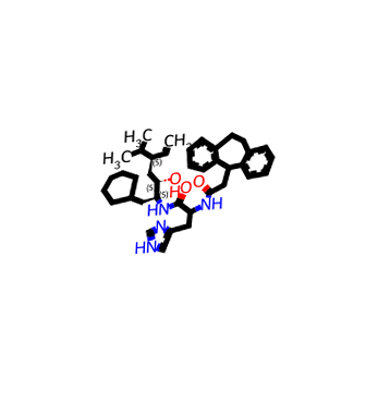 C=C[C@@H](C[C@H](O)[C@H](CC1CCCCC1)NC(=O)C(Cc1c[nH]cn1)NC(=O)CC1c2ccccc2CCc2ccccc21)C(C)C